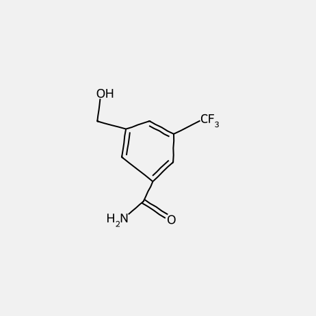 NC(=O)c1cc(CO)cc(C(F)(F)F)c1